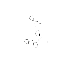 CC(C)(C)CC(=O)N(CCOc1ccc(C[C@H](Nc2ccccc2C(=O)c2ccccc2)C(=O)O)cc1)c1ccccc1